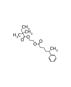 CCC(C)(C)C(=O)OCCOC(=O)CCCC(C)c1ccccc1